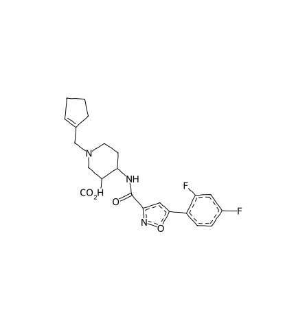 O=C(NC1CCN(CC2=CCCC2)CC1C(=O)O)c1cc(-c2ccc(F)cc2F)on1